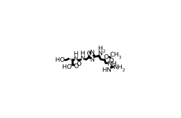 CC(=O)OC(CNC(=N)N)C[C@H](N)c1noc(CNC(=O)N[C@@H](CCO)C(=O)O)n1